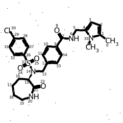 Cc1ccc(CNC(=O)c2ccc(CN([C@@H]3CCCCNC3=O)S(=O)(=O)c3ccc(Cl)cc3)cc2)n1C